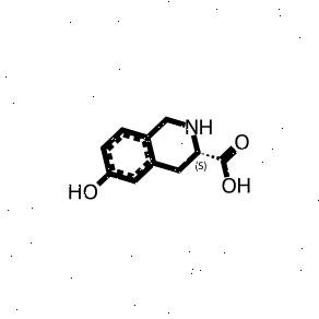 O=C(O)[C@@H]1Cc2cc(O)ccc2CN1